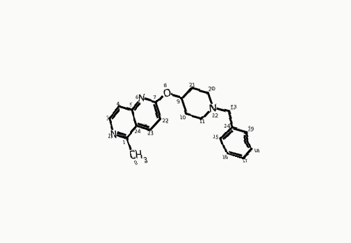 Cc1nccc2nc(OC3CCN(Cc4ccccc4)CC3)ccc12